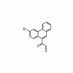 O=CC(=O)c1cc2ccccc2c2cc(Br)ccc12